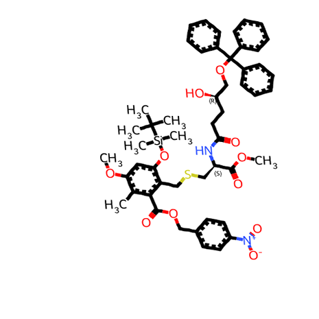 COC(=O)[C@@H](CSCc1c(O[Si](C)(C)C(C)(C)C)cc(OC)c(C)c1C(=O)OCc1ccc([N+](=O)[O-])cc1)NC(=O)CC[C@@H](O)COC(c1ccccc1)(c1ccccc1)c1ccccc1